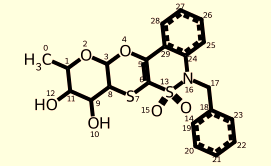 CC1OC2OC3=C(SC2C(O)C1O)S(=O)(=O)N(Cc1ccccc1)c1ccccc13